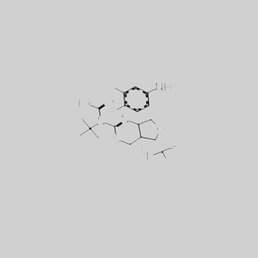 CC(C)(C)N(C(=O)O)C1=N[C@@]2(c3cc(N)cc(F)c3F)CO[C@H](C(F)(F)F)[C@H]2CS1